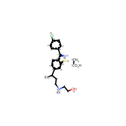 CC(=O)O.CCC(CCN(CC)CCO)c1ccc2c(-c3ccc(Cl)cc3)nsc2c1